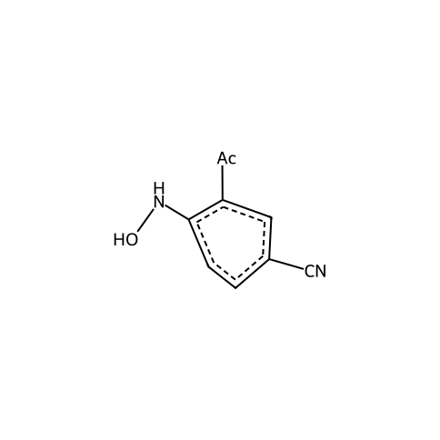 CC(=O)c1cc(C#N)ccc1NO